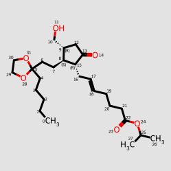 CCCCCC1(CC[C@H]2[C@H](CO)CC(=O)[C@@H]2CC=CCCCC(=O)OC(C)C)OCCO1